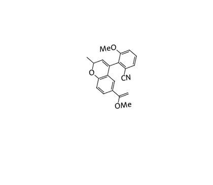 C=C(OC)c1ccc2c(c1)C(c1c(C#N)cccc1OC)=CC(C)O2